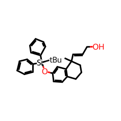 CC1(C=CCO)CCCc2ccc(O[Si](c3ccccc3)(c3ccccc3)C(C)(C)C)cc21